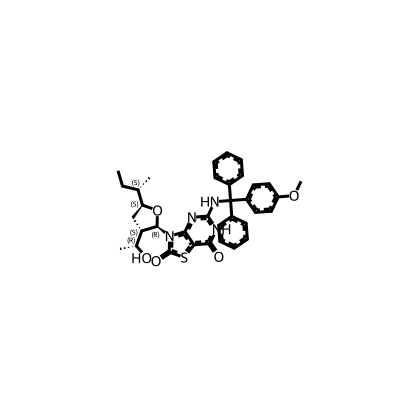 CC[C@H](C)[C@@H]1C[C@@H]([C@@H](C)O)[C@H](n2c(=O)sc3c(=O)[nH]c(NC(c4ccccc4)(c4ccccc4)c4ccc(OC)cc4)nc32)O1